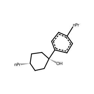 CCCc1ccc([C@]2(O)CC[C@@H](CCC)CC2)cc1